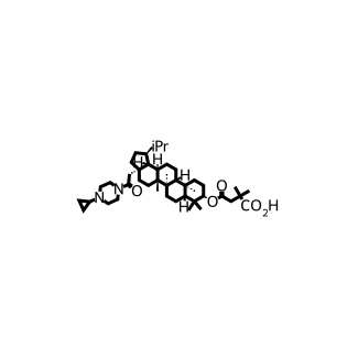 CC(C)[C@@H]1CC[C@]2(CC(=O)N3CCN(C4CC4)CC3)CC[C@]3(C)[C@H](CC[C@@H]4[C@@]5(C)CC[C@H](OC(=O)CC(C)(C)C(=O)O)C(C)(C)[C@@H]5CC[C@]43C)[C@@H]12